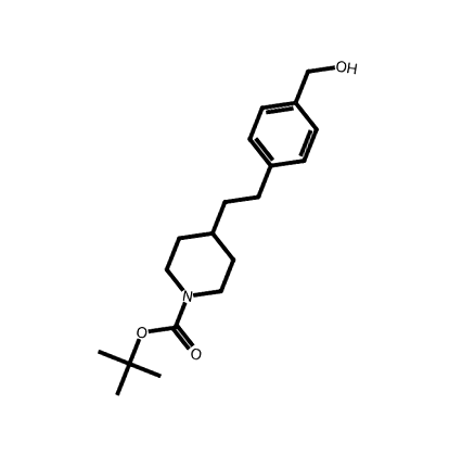 CC(C)(C)OC(=O)N1CCC(CCc2ccc(CO)cc2)CC1